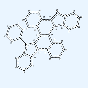 c1ccc(-n2c3ccccc3c3c4ccccc4c4c5c6ccccc6oc5c5ccccc5c4c32)cc1